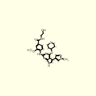 COc1cc(C(=O)NCCO)ccc1Nc1nc(OC2CCOCC2)c2c(-c3cnn(C)c3)c[nH]c2n1